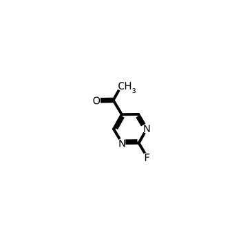 CC(=O)c1cnc(F)nc1